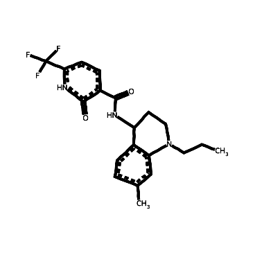 CCCN1CCC(NC(=O)c2ccc(C(F)(F)F)[nH]c2=O)c2ccc(C)cc21